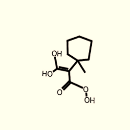 CC1(C(C(=O)OO)=C(O)O)CCCCC1